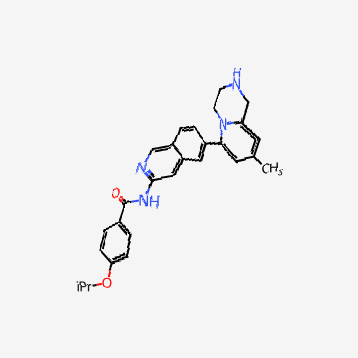 CC1=C=C2CNCCN2C(c2ccc3cnc(NC(=O)c4ccc(OC(C)C)cc4)cc3c2)=C1